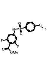 CCOc1ccc(S(=O)(=O)Nc2cc(F)c(C(=O)OC)c(F)c2)cc1